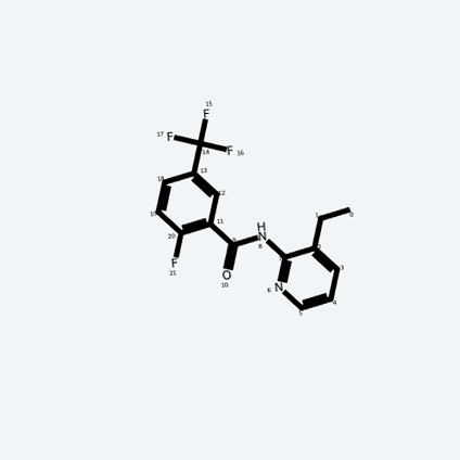 CCc1cccnc1NC(=O)c1cc(C(F)(F)F)ccc1F